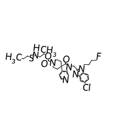 CCCSNCC(C)OC(=O)N1CCC2(CC1)C(=O)N(Cc1nc3cc(Cl)ccc3n1CCCCF)c1cnccc12